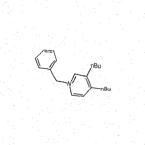 CCCCc1cc[n+](Cc2ccccc2)cc1CCCC